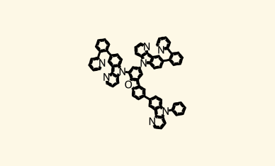 c1ccc(-n2c3ccc(-c4ccc5oc6c(-n7c8ccc(-c9ccccc9-c9ccccn9)cc8c8ncccc87)cc(-n7c8ccc(-c9ccccc9-c9ccccn9)cc8c8ncccc87)cc6c5c4)cc3c3ncccc32)cc1